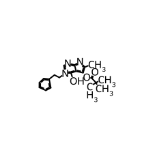 Cc1nc2ncn(CCc3ccccc3)c(O)c-2c1OC(=O)C(C)(C)C